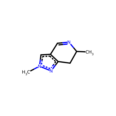 CC1Cc2nn(C)cc2C=N1